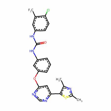 Cc1nc(C)c(-c2cc(Oc3cccc(NC(=O)Nc4ccc(Cl)c(C(F)(F)F)c4)c3)ncn2)s1